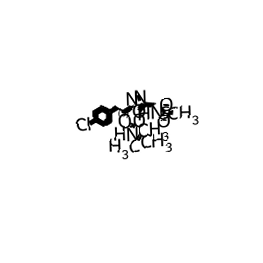 CC(C)(C)NC(=O)O[C@@H](Cc1ccc(Cl)cc1)c1nnc(CNS(C)(=O)=O)o1